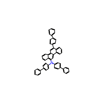 c1ccc(-c2ccc(-c3cc4c5ccccc5c(N(c5ccc(-c6ccccc6)cc5)c5ccc(-c6ccccc6)cc5)cc4c4ccccc34)cc2)cc1